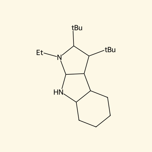 CCN1C2NC3CCCCC3C2C(C(C)(C)C)C1C(C)(C)C